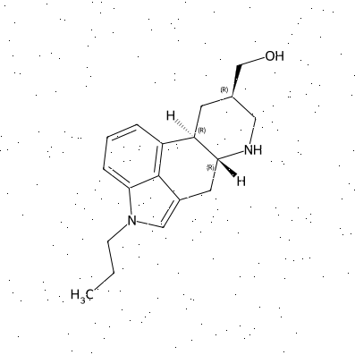 CCCn1cc2c3c(cccc31)[C@H]1C[C@@H](CO)CN[C@@H]1C2